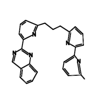 Cc1cccc(-c2cccc(CCCc3cccc(-c4ncc5ccccc5n4)n3)n2)n1